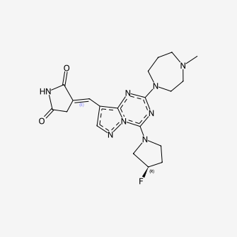 CN1CCCN(c2nc(N3CC[C@@H](F)C3)n3ncc(/C=C4\CC(=O)NC4=O)c3n2)CC1